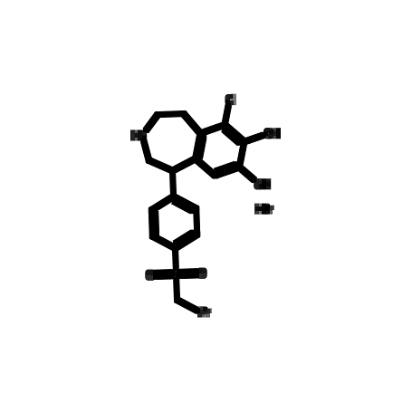 Br.CC(C)CS(=O)(=O)c1ccc(C2CNCCc3c2cc(O)c(O)c3Cl)cc1